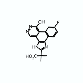 CC(C)(C(=O)O)c1nc2c3ccc(F)cc3c3c(O)nncc3c2[nH]1